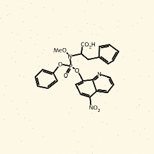 CON(C(Cc1ccccc1)C(=O)O)P(=O)(Oc1ccccc1)Oc1ccc([N+](=O)[O-])c2cccnc12